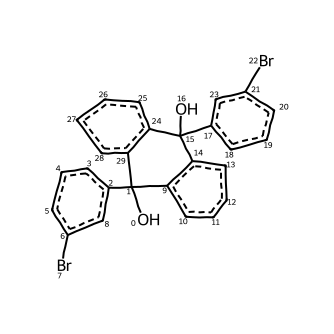 OC1(c2cccc(Br)c2)c2ccccc2C(O)(c2cccc(Br)c2)c2ccccc21